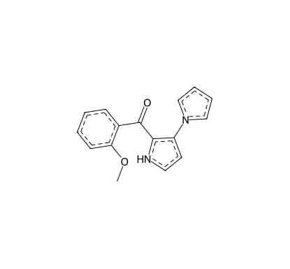 COc1ccccc1C(=O)c1[nH]ccc1-n1cccc1